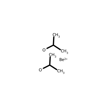 CC(C)[O-].CC(C)[O-].[Be+2]